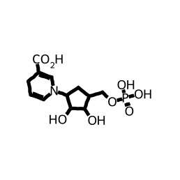 O=C(O)C1=CN(C2CC(COP(=O)(O)O)C(O)C2O)C=CC1